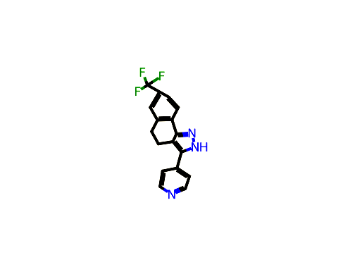 FC(F)(F)c1ccc2c(c1)CCc1c-2n[nH]c1-c1ccncc1